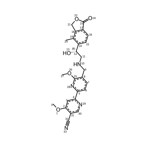 COc1cc(-c2ccc(CNC[C@H](O)c3ccc4c(c3C)COC4=O)c(OC)n2)ncc1C#N